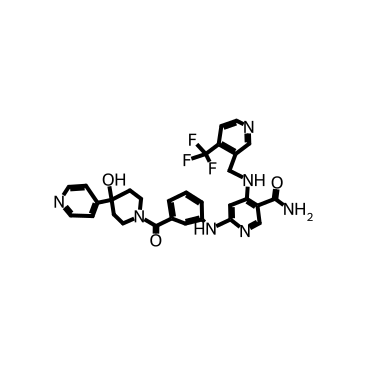 NC(=O)c1cnc(Nc2cccc(C(=O)N3CCC(O)(c4ccncc4)CC3)c2)cc1NCc1cnccc1C(F)(F)F